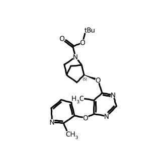 Cc1ncccc1Oc1ncnc(O[C@H]2CC3CC2N(C(=O)OC(C)(C)C)C3)c1C